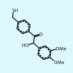 COc1ccc(C(O)C(=O)c2ccc(CS)cc2)cc1OC